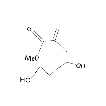 C=C(C)C(=O)OC.OCCCO